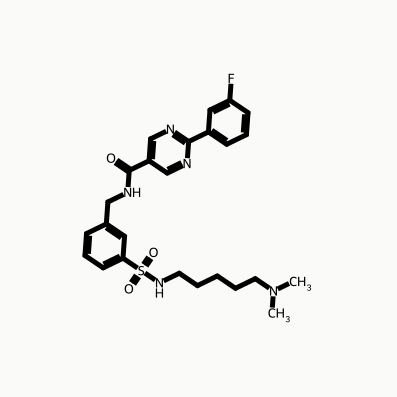 CN(C)CCCCCNS(=O)(=O)c1cccc(CNC(=O)c2cnc(-c3cccc(F)c3)nc2)c1